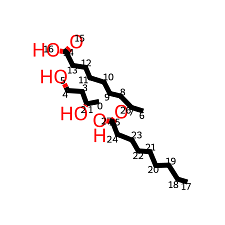 CC(O)CCO.CCCCCCCCC(=O)O.CCCCCCCCC(=O)O